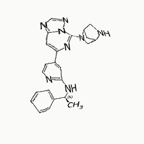 C[C@H](Nc1cc(-c2cc3ncnn3c(N3CC4CC3CN4)n2)ccn1)c1ccccc1